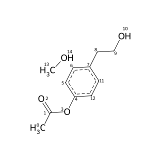 CC(=O)Oc1ccc(CCO)cc1.CO